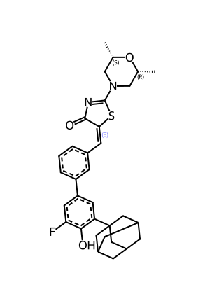 C[C@@H]1CN(C2=NC(=O)/C(=C\c3cccc(-c4cc(F)c(O)c(C56CC7CC(CC(C7)C5)C6)c4)c3)S2)C[C@H](C)O1